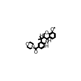 COc1cccc2c1OC[C@H]1[C@@H]2Nc2ccc(C(=O)N3CCOCC3)cc2C1(C)C